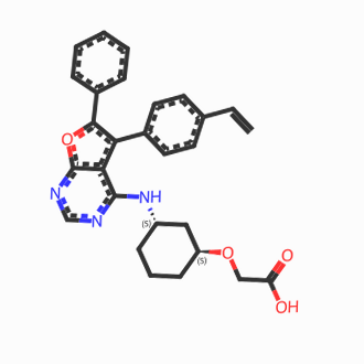 C=Cc1ccc(-c2c(-c3ccccc3)oc3ncnc(N[C@H]4CCC[C@H](OCC(=O)O)C4)c23)cc1